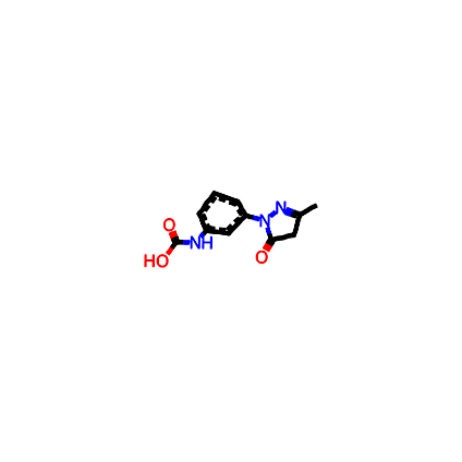 CC1=NN(c2cccc(NC(=O)O)c2)C(=O)C1